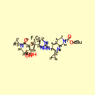 CC(C)(C)OC(=O)N1CCc2cc(Nc3ncc(C(F)(F)F)c(-c4cc5c(s4)C(=O)N(C4CC4)CCS5(O)O)n3)c(C3CC3)nc2C1